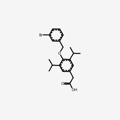 CC(C)c1cc(CC(=O)O)cc(C(C)C)c1OCc1cccc(Br)c1